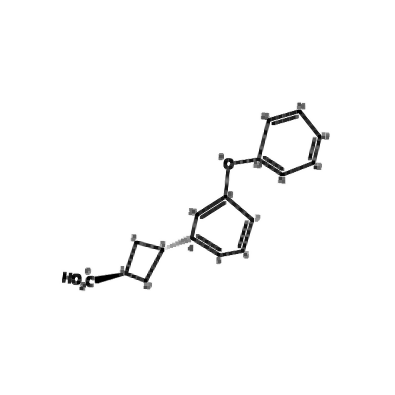 O=C(O)[C@H]1C[C@H](c2cccc(Oc3ccccc3)c2)C1